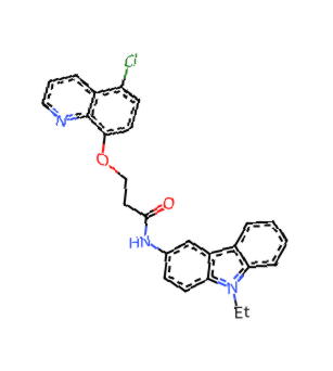 CCn1c2ccccc2c2cc(NC(=O)CCOc3ccc(Cl)c4cccnc34)ccc21